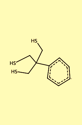 SCC(CS)(CS)c1cc[c]cc1